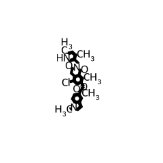 Cc1cc(C)c(CN2CCc3c(Cl)c4c(c(C)c3C2=O)OC(C)(c2ccc3c(ccn3C)c2)O4)c(=O)[nH]1